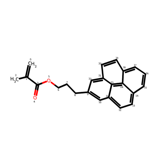 C=C(C)C(=O)OCCCc1cc2ccc3cccc4ccc(c1)c2c34